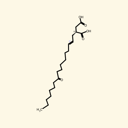 CCCCCCCC(=O)CCCCCC/C=C/C[C@@H](CC(=O)O)C(=O)O